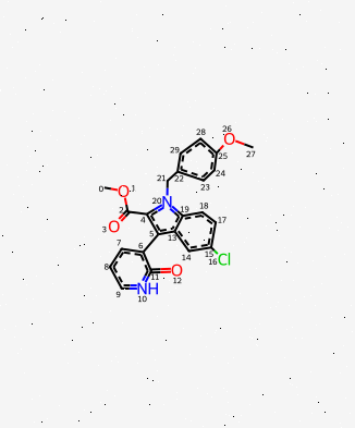 COC(=O)c1c(-c2ccc[nH]c2=O)c2cc(Cl)ccc2n1Cc1ccc(OC)cc1